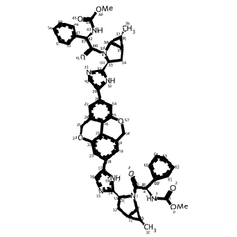 COC(=O)N[C@@H](C(=O)N1C2C(C)C2C[C@H]1c1ncc(-c2cc3c4c(c2)OCc2cc(-c5cnc([C@@H]6CC7C([C@@H]7C)N6C(=O)[C@H](NC(=O)OC)c6ccccc6)[nH]5)cc(c2-4)OC3)[nH]1)c1ccccc1